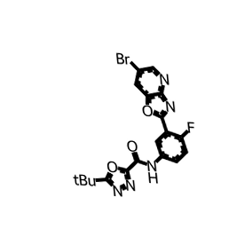 CC(C)(C)c1nnc(C(=O)Nc2ccc(F)c(-c3nc4ncc(Br)cc4o3)c2)o1